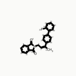 C/C(=C/CN1C(=O)c2ccccc2C1=O)c1ccc(-c2ccccc2F)cc1